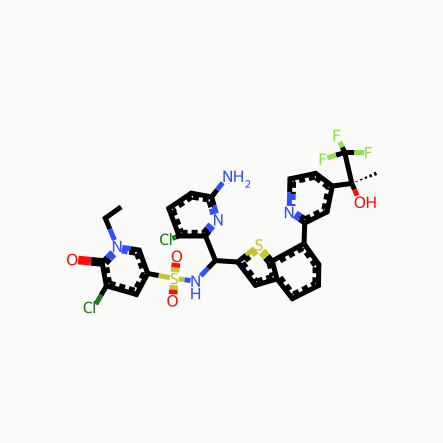 CCn1cc(S(=O)(=O)NC(c2cc3cccc(-c4cc([C@](C)(O)C(F)(F)F)ccn4)c3s2)c2nc(N)ccc2Cl)cc(Cl)c1=O